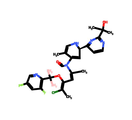 BC(B)(OC(/C=C(/C)N(C=O)C1=C[C@H](c2ccnc(C(C)(C)O)n2)NC=C1C)=C(/C)Cl)c1ncc(F)cc1F